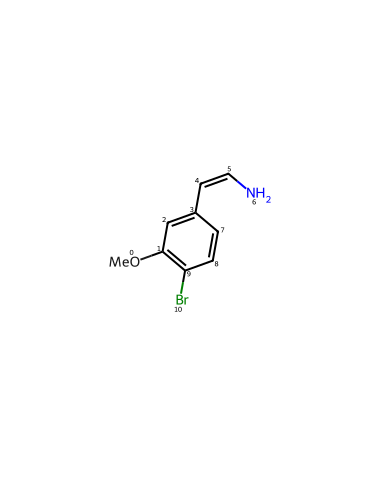 COc1cc(/C=C\N)ccc1Br